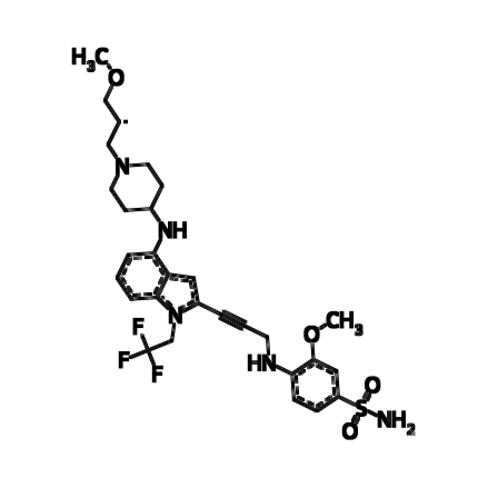 COC[CH]CN1CCC(Nc2cccc3c2cc(C#CCNc2ccc(S(N)(=O)=O)cc2OC)n3CC(F)(F)F)CC1